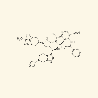 C[C@@H](Nc1c(C#N)cnc2c(Cl)cc(N[C@H](C3=CN(C4CCN(C(C)(C)C)CC4)NN3)c3csc4c3CCN(C3COC3)C4)cc12)c1ccccc1